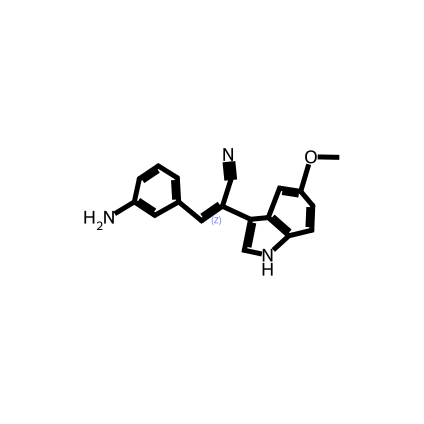 COc1ccc2[nH]cc(/C(C#N)=C/c3cccc(N)c3)c2c1